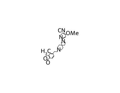 COc1cc(N2CCC3(CCN(CCc4ccc5c(c4C)COC5=O)CC3)C2)ncc1C#N